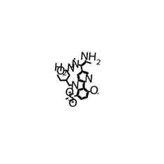 COc1ccc(S(C)(=O)=O)c2c1c1ncc(/C(=C(\C)N)N(C)N)cc1n2CC1CCOCC1